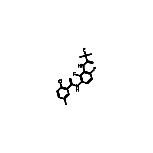 C=C(Nc1ccc(F)c(NC(=C)C(C)(C)F)c1F)c1cc(C)ccc1Cl